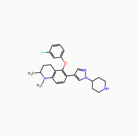 CC1CCc2c(ccc(-c3cnn(C4CCNCC4)c3)c2Oc2cccc(F)c2)N1C